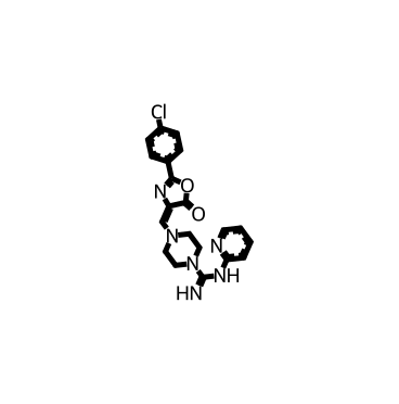 N=C(Nc1ccccn1)N1CCN(C=C2N=C(c3ccc(Cl)cc3)OC2=O)CC1